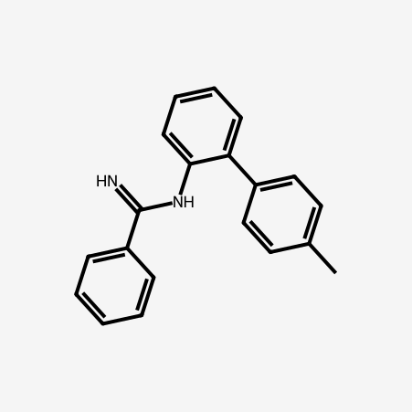 Cc1ccc(-c2ccccc2NC(=N)c2ccccc2)cc1